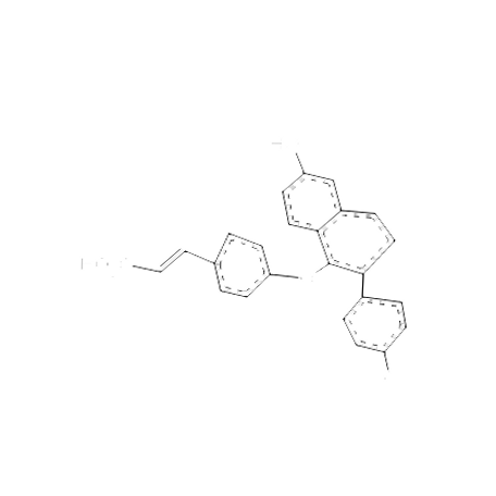 O=C(O)C=Cc1ccc(Oc2c(-c3ccc(Cl)cc3)ccc3cc(O)ccc23)cc1